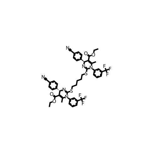 CCOC(=O)C1=C(C)N(c2cccc(C(F)(F)F)c2)C(SCCCCCSC2=N[C@@H](c3ccc(C#N)cc3)C(C(=O)OCC)=C(C)N2c2cccc(C(F)(F)F)c2)=N[C@H]1c1ccc(C#N)cc1